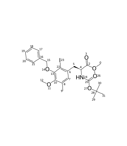 COC(=O)[C@H](Cc1cc(C)c(OC)c(OCc2ccccc2)c1I)NC(=O)OC(C)(C)C